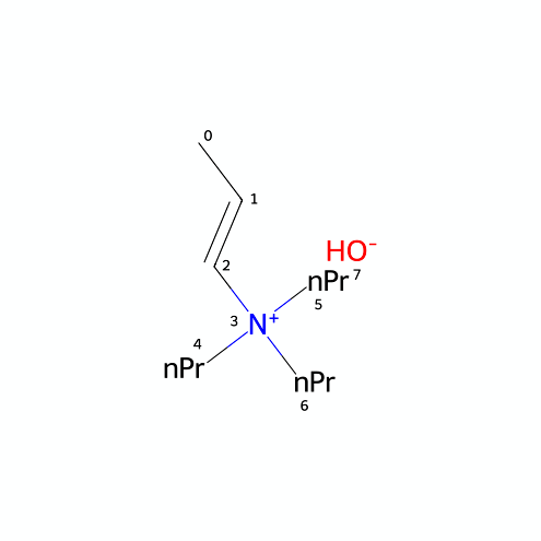 CC=C[N+](CCC)(CCC)CCC.[OH-]